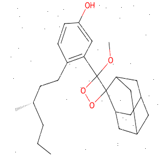 CCC[C@H](C)CCc1ccc(O)cc1C1(OC)OOC12C1CC3CC(C1)CC2C3